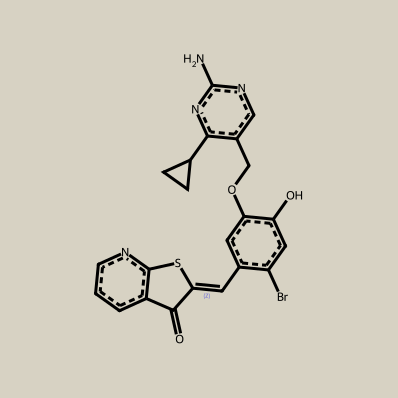 Nc1ncc(COc2cc(/C=C3\Sc4ncccc4C3=O)c(Br)cc2O)c(C2CC2)n1